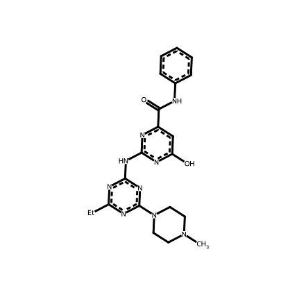 CCc1nc(Nc2nc(O)cc(C(=O)Nc3ccccc3)n2)nc(N2CCN(C)CC2)n1